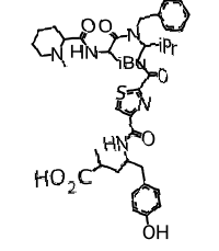 CCC(C)C(NC(=O)C1CCCCN1C)C(=O)N(Cc1ccccc1)C(CC(=O)c1nc(C(=O)NC(Cc2ccc(O)cc2)CC(C)C(=O)O)cs1)C(C)C